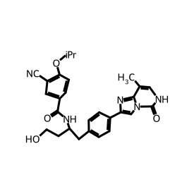 Cc1c[nH]c(=O)n2cc(-c3ccc(CC(CCO)NC(=O)c4ccc(OC(C)C)c(C#N)c4)cc3)nc12